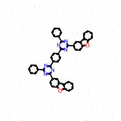 c1ccc(-c2nc(-c3ccc(-c4nc(-c5ccccc5)nc(-c5ccc6oc7ccccc7c6c5)n4)cc3)nc(-c3ccc4oc5ccccc5c4c3)n2)cc1